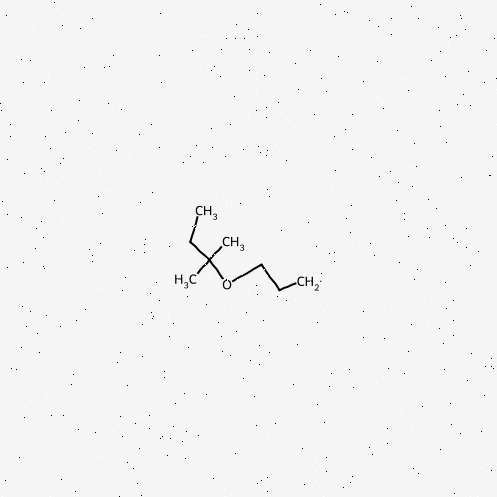 [CH2]CCOC(C)(C)CC